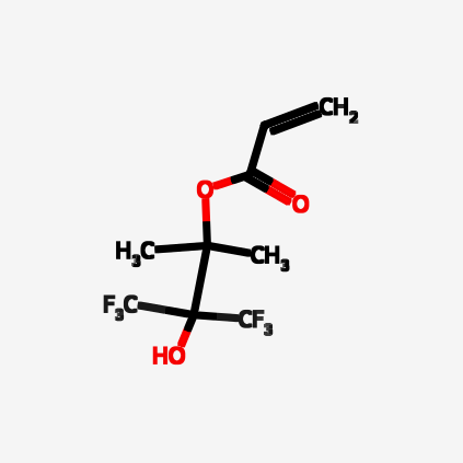 C=CC(=O)OC(C)(C)C(O)(C(F)(F)F)C(F)(F)F